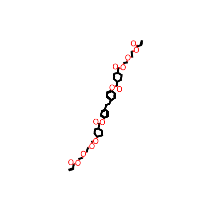 C=CC(=O)OCCOCCOCOC1CCC(C(=O)Oc2ccc(CCc3ccc(OC(=O)C4CCC(C(=O)OCCOCCOC(=O)C=C)CC4)cc3)cc2)CC1